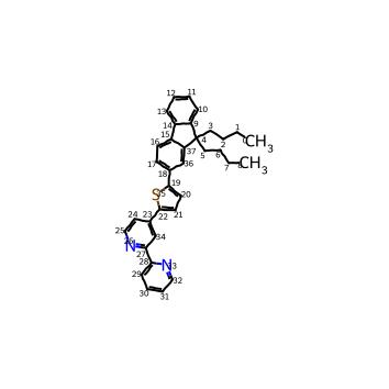 CCCCC1(CCCC)c2ccccc2-c2ccc(-c3ccc(-c4ccnc(-c5ccccn5)c4)s3)cc21